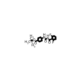 CC(C)(C)OC(=O)c1ccc(NC(=O)NC(=O)c2c(F)cccc2F)cc1